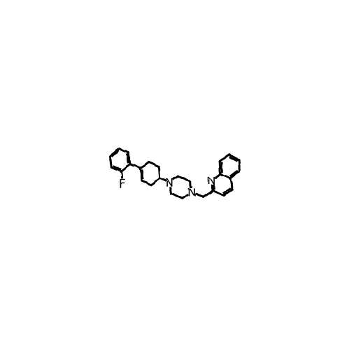 Fc1ccccc1C1=CCC(N2CCN(Cc3ccc4ccccc4n3)CC2)CC1